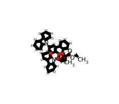 CCOC(=O)c1ccc(-n2c3ccccc3c3ccccc32)cc1-c1ccccc1-c1cc(-n2c3ccccc3c3ccccc32)ccc1C1OC(C)O1